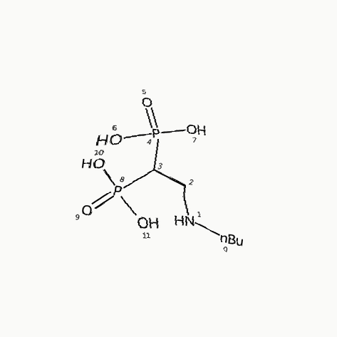 CCCCNCC(P(=O)(O)O)P(=O)(O)O